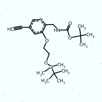 C#Cc1cnc(CNC(=O)OC(C)(C)C)c(OCCO[Si](C)(C)C(C)(C)C)c1